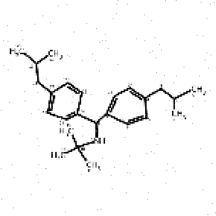 CC(C)Cc1ccc(C(NC(C)(C)C)c2ccc(CC(C)C)cc2)cc1